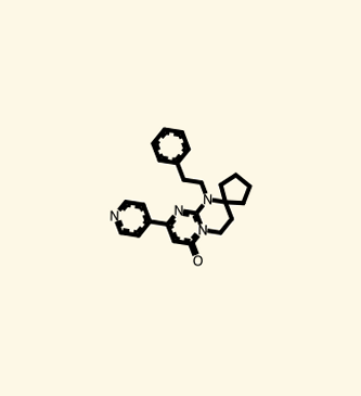 O=c1cc(-c2ccncc2)nc2n1CCC1(CCCC1)N2CCc1ccccc1